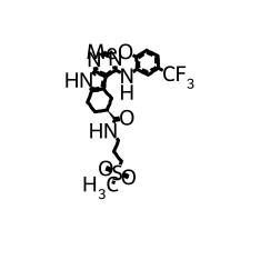 COc1ccc(C(F)(F)F)cc1Nc1ncnc2[nH]c3c(c12)C[C@@H](C(=O)NCCCS(C)(=O)=O)CC3